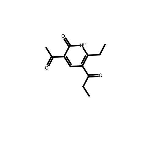 CCC(=O)c1cc(C(C)=O)c(=O)[nH]c1CC